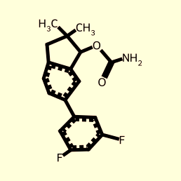 CC1(C)Cc2ccc(-c3cc(F)cc(F)c3)cc2C1OC(N)=O